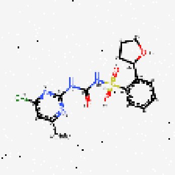 COc1cc(Cl)nc(NC(=O)NS(=O)(=O)c2ccccc2C2CCCO2)n1